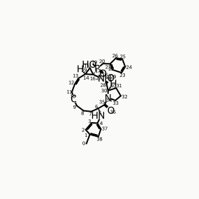 Cc1ccc(N[C@H]2CCCCC/C=C\[C@@H]3C[C@@]3(P(=O)(O)Cc3ccccc3)NC(=O)[C@@H]3CCCN3C2=O)cc1